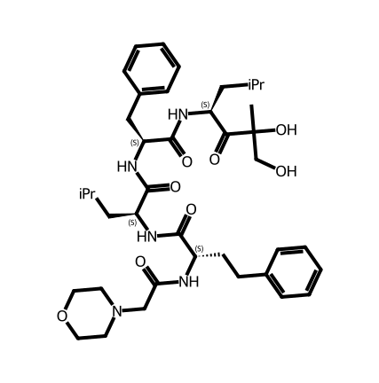 CC(C)C[C@H](NC(=O)[C@H](CCc1ccccc1)NC(=O)CN1CCOCC1)C(=O)N[C@@H](Cc1ccccc1)C(=O)N[C@@H](CC(C)C)C(=O)C(C)(O)CO